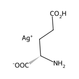 N[C@@H](CCC(=O)O)C(=O)[O-].[Ag+]